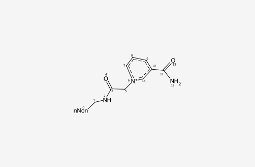 CCCCCCCCCCNC(=O)C[n+]1cccc(C(N)=O)c1